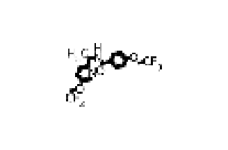 C[C@H](NC(=O)c1ccc(OCC(F)(F)F)cc1)c1ccc(OCC(F)(F)F)cn1